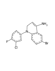 NC1=CCN(c2ccc(F)c(Cl)c2)c2ccc(Br)cc21